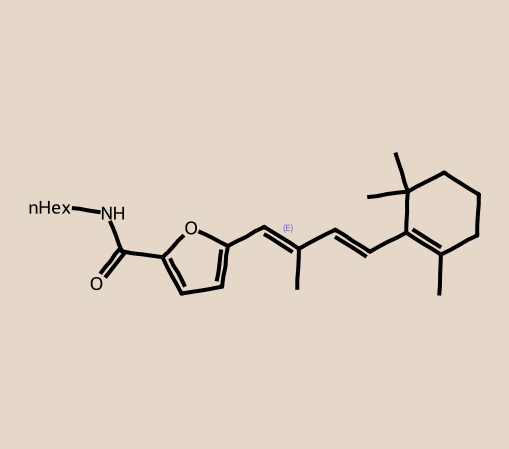 CCCCCCNC(=O)c1ccc(/C=C(\C)C=CC2=C(C)CCCC2(C)C)o1